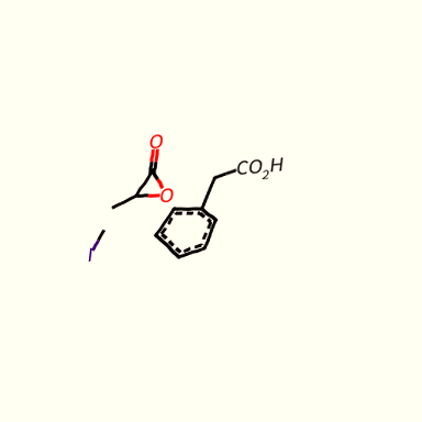 CC1OC1=O.CI.O=C(O)Cc1ccccc1